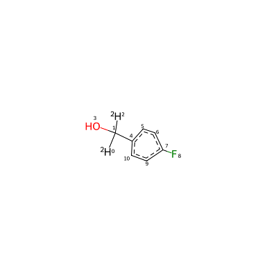 [2H]C([2H])(O)c1ccc(F)cc1